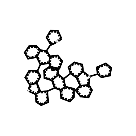 c1ccc(-c2c3ccccc3c(-c3ccc4sc5cccc(-c6c7ccccc7c(-c7cccc8c7c7ccccc7n8-c7ccccc7)c7ccccc67)c5c4c3)c3ccccc23)cc1